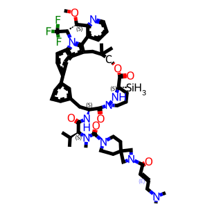 CO[C@@H](C)c1ncccc1-c1c2c3cc(ccc3n1CC(F)(F)F)-c1cccc(c1)C[C@H](NC(=O)[C@H](C(C)C)N(C)C(=O)N1CCC3(CC1)CN(C(=O)/C=C/CN(C)C)C3)C(=O)N1CCC[C@@]([SiH3])(N1)C(=O)OCC(C)(C)C2